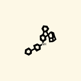 c1ccc(-c2ccc(Nc3ccc4c(c3)C3(c5ccccc5-4)C4CC5CC(C4)CC3C5)cc2)cc1